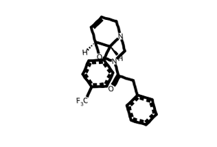 O=C(Cc1ccccc1)N1CN2CC=C[C@H](O1)[C@H]2c1ccc(C(F)(F)F)cc1